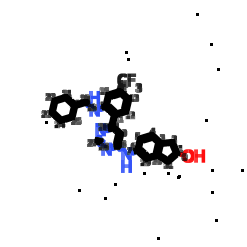 O[C@@H]1Cc2ccc(Nc3cc(-c4ccc(C(F)(F)F)cc4NCC4CCCCC4)ncn3)cc2C1